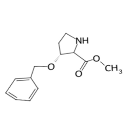 COC(=O)C1NCC[C@H]1OCc1ccccc1